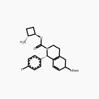 CCCCCC1C=CC2=C(CCN(C(=O)O[C@@H]3CC[C@H]3N)[C@H]2c2ccc(F)cc2)C1